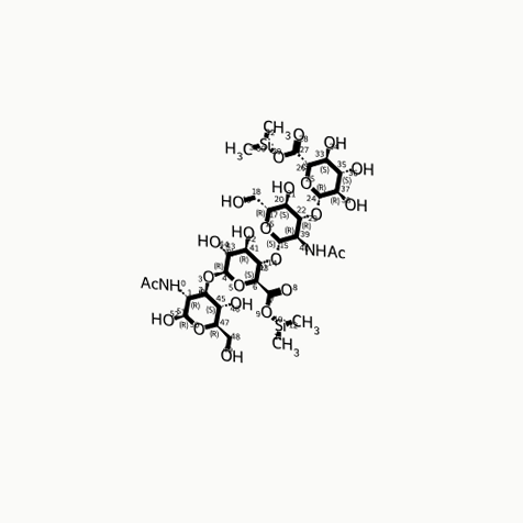 CC(=O)N[C@@H]1[C@@H](O[C@@H]2O[C@H](C(=O)O[Si](C)C)[C@@H](O[C@@H]3O[C@H](CO)[C@@H](O)[C@H](O[C@@H]4O[C@H](C(=O)O[Si](C)C)[C@@H](O)[C@H](O)[C@H]4O)[C@H]3NC(C)=O)[C@H](O)[C@H]2O)[C@H](O)[C@@H](CO)O[C@H]1O